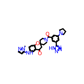 Cn1nccc1Nc1ccc2c(c1)C(=O)CC1(CCN(C(=O)c3cc(-c4nnn[nH]4)cc(N4CCCC4)c3)CC1)O2